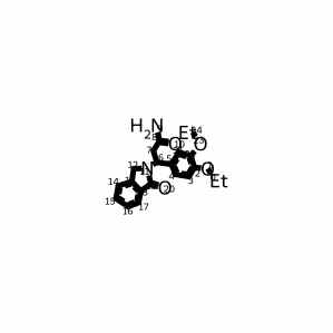 CCOc1ccc(C(CC(N)=O)N2Cc3ccccc3C2=O)cc1OCC